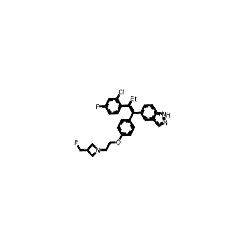 CC/C(=C(/c1ccc(OCCN2CC(CF)C2)cc1)c1ccc2[nH]ncc2c1)c1ccc(F)cc1Cl